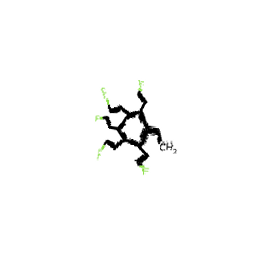 C=Cc1c(C=CF)c(C=CF)c(C=CF)c(C=CF)c1C=CF